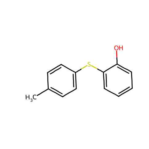 Cc1ccc(Sc2ccccc2O)cc1